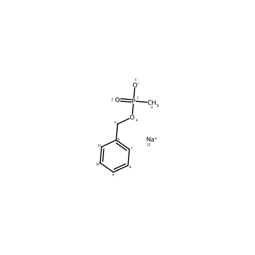 CP(=O)([O-])OCc1ccccc1.[Na+]